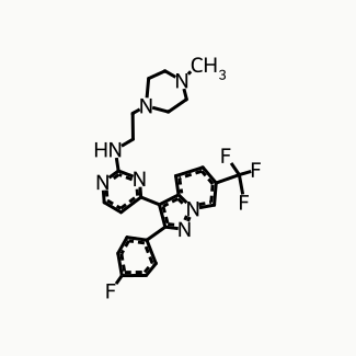 CN1CCN(CCNc2nccc(-c3c(-c4ccc(F)cc4)nn4cc(C(F)(F)F)ccc34)n2)CC1